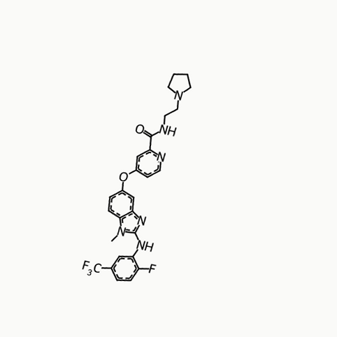 Cn1c(Nc2cc(C(F)(F)F)ccc2F)nc2cc(Oc3ccnc(C(=O)NCCN4CCCC4)c3)ccc21